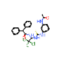 CC(=O)Nc1cccc(NC(=S)NC(NC(=O)C(c2ccccc2)c2ccccc2)C(Cl)(Cl)Cl)c1